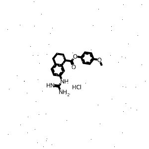 COc1ccc(OC(=O)C2CCCc3ccc(NC(=N)N)cc32)cc1.Cl